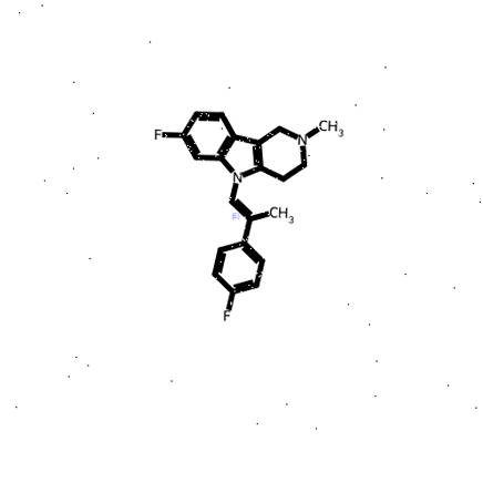 C/C(=C\n1c2c(c3ccc(F)cc31)CN(C)CC2)c1ccc(F)cc1